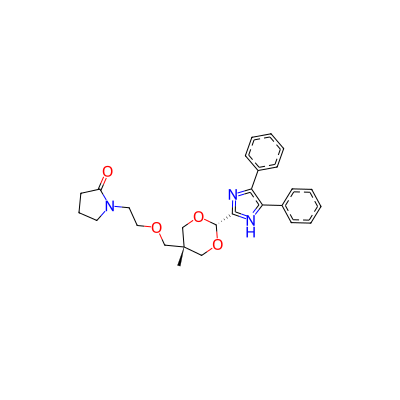 C[C@]1(COCCN2CCCC2=O)CO[C@@H](c2nc(-c3ccccc3)c(-c3ccccc3)[nH]2)OC1